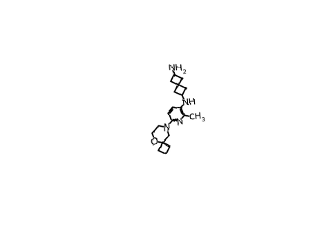 Cc1nc(N2CCOC3(CCC3)C2)ccc1NC1CC2(CC(N)C2)C1